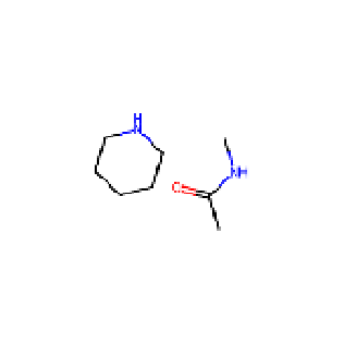 C1CCNCC1.CNC(C)=O